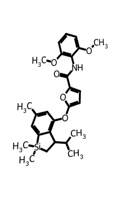 COc1cccc(OC)c1NC(=O)c1ccc(Oc2cc(C)cc3c2C(C(C)C)C[Si]3(C)C)o1